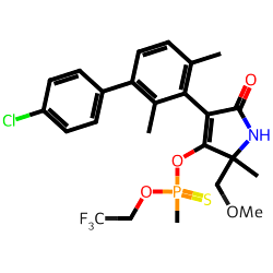 COCC1(C)NC(=O)C(c2c(C)ccc(-c3ccc(Cl)cc3)c2C)=C1OP(C)(=S)OCC(F)(F)F